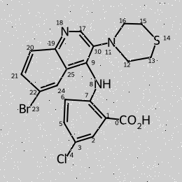 O=C(O)c1cc(Cl)ccc1Nc1c(N2CCSCC2)cnc2ccc(Br)cc12